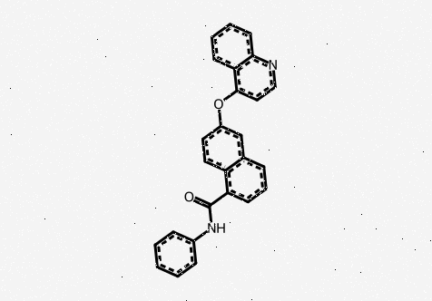 O=C(Nc1ccccc1)c1cccc2cc(Oc3ccnc4ccccc34)ccc12